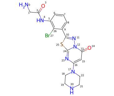 NCC(=O)Nc1cccc(-c2nn3c(=O)cc(N4CCNCC4)nc3s2)c1Br